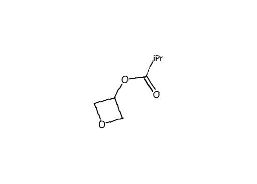 [CH2]C(C)C(=O)OC1COC1